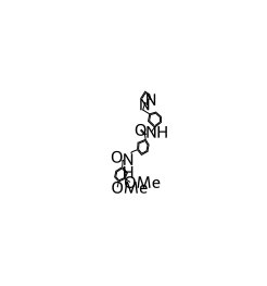 COc1ccc(C(=O)NCc2cccc(C(=O)Nc3cccc(Cn4cccn4)c3)c2)cc1OC